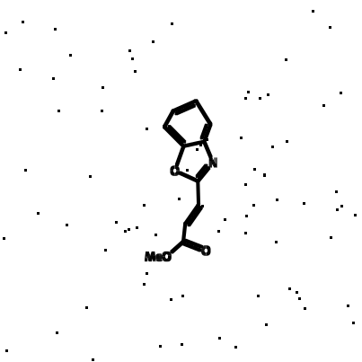 COC(=O)C=Cc1nc2ccccc2o1